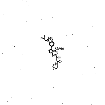 COc1nc(NCC(=O)N2CCOCC2)nn2ccc(-c3ccc4nnn(CC(F)F)c4c3)c12